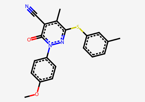 COc1ccc(-n2nc(Sc3cccc(C)c3)c(C)c(C#N)c2=O)cc1